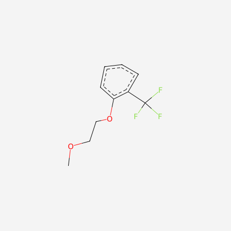 COCCOc1ccccc1C(F)(F)F